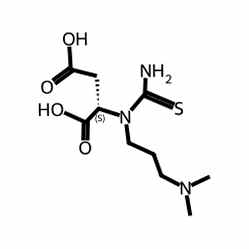 CN(C)CCCN(C(N)=S)[C@@H](CC(=O)O)C(=O)O